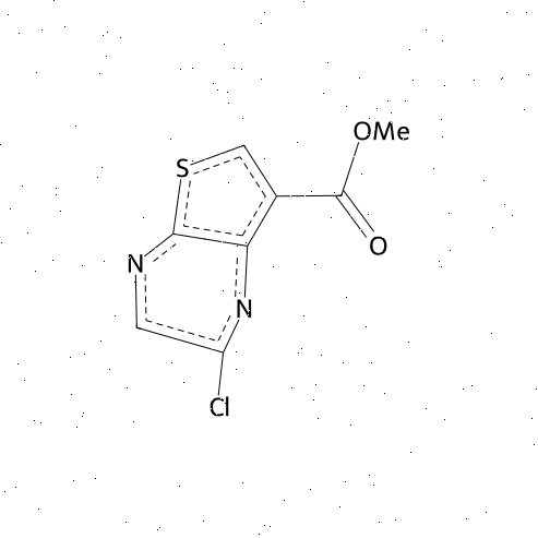 COC(=O)c1csc2ncc(Cl)nc12